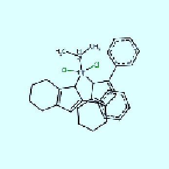 C[SiH](C)[Hf]([Cl])([Cl])([CH]1C(c2ccccc2)=CC2=C1CCCC2)[CH]1C(c2ccccc2)=CC2=C1CCCC2